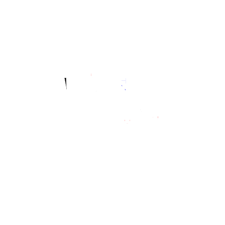 CCCOC(=O)[C@@H](CC)NCC(=O)[C@@H]1C[C@H](C)CC[C@H]1C(C)C